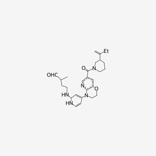 C=C(CC)C1CCCN(C(=O)c2cnc3c(c2)OCCN3C2=CC(NCCC(C)C=O)NC=C2)C1